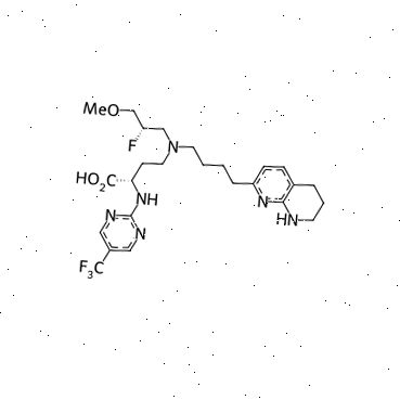 COC[C@@H](F)CN(CCCCc1ccc2c(n1)NCCC2)CC[C@H](Nc1ncc(C(F)(F)F)cn1)C(=O)O